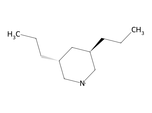 CCC[C@H]1C[N]C[C@H](CCC)C1